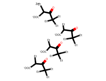 CCC(C(=O)[O-])C(=O)C(CC)(CC)CC.CCC(C(=O)[O-])C(=O)C(CC)(CC)CC.CCC(C(=O)[O-])C(=O)C(CC)(CC)CC.CCC(C(=O)[O-])C(=O)C(CC)(CC)CC.[Zr+4]